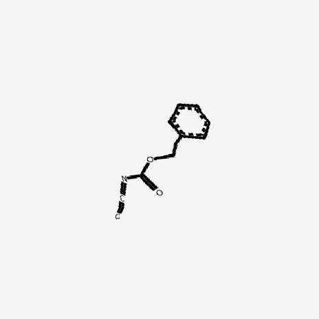 O=C=NC(=O)OCc1ccccc1